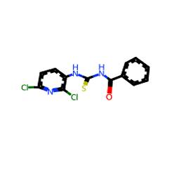 O=C(NC(=S)Nc1ccc(Cl)nc1Cl)c1ccccc1